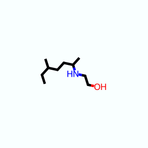 CCC(C)CCC(C)NCCO